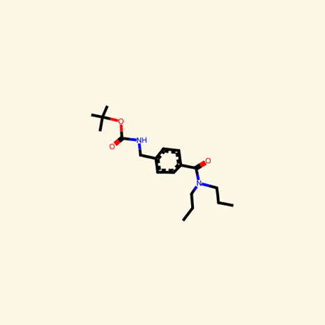 CCCN(CCC)C(=O)c1ccc(CNC(=O)OC(C)(C)C)cc1